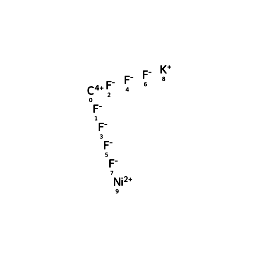 [C+4].[F-].[F-].[F-].[F-].[F-].[F-].[F-].[K+].[Ni+2]